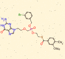 COc1cc(C(=O)SCCOP(=O)(COCCn2cnc3c(=O)[nH]c(N)nc32)OCc2cccc(Br)c2)ccc1C